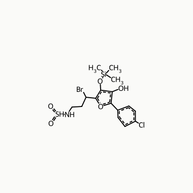 C[Si](C)(C)Oc1c(C(Br)CCN[SH](=O)=O)oc(-c2ccc(Cl)cc2)c1O